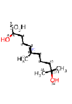 C/C(=C\CCC(O)S(=O)(=O)O)CCCC(C)(C)O